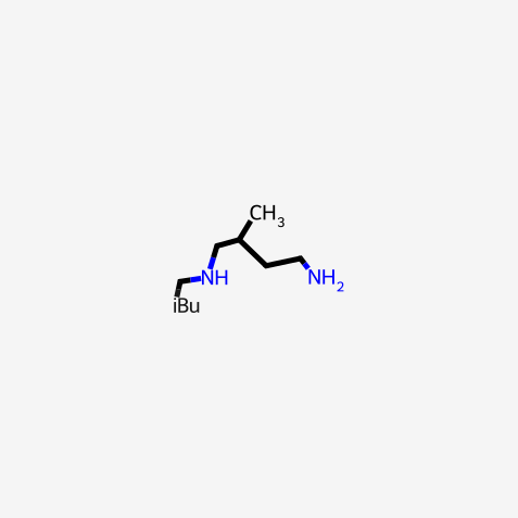 CCC(C)CNCC(C)CCN